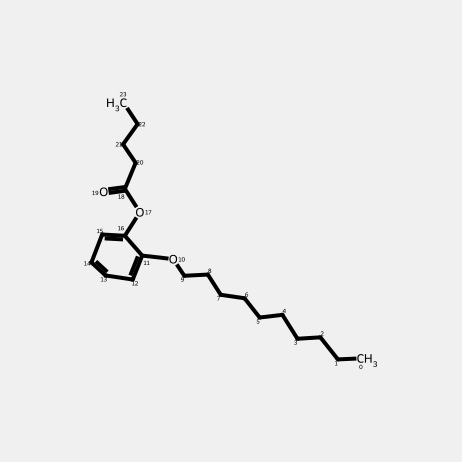 CCCCCCCCCCOc1ccccc1OC(=O)CCCC